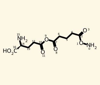 NOC(=O)CCCC(=O)OC(=O)CC[C@H](N)C(=O)O